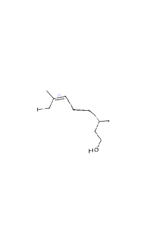 C/C(=C/CCC(C)CCO)CI